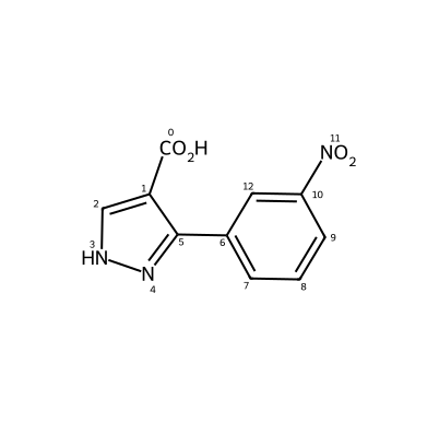 O=C(O)c1c[nH]nc1-c1cccc([N+](=O)[O-])c1